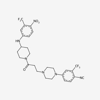 [C-]#[N+]c1ccc(N2CCN(CCC(=O)N3CCC(Nc4ccc([N+](=O)[O-])c(C(F)(F)F)c4)CC3)CC2)cc1C(F)(F)F